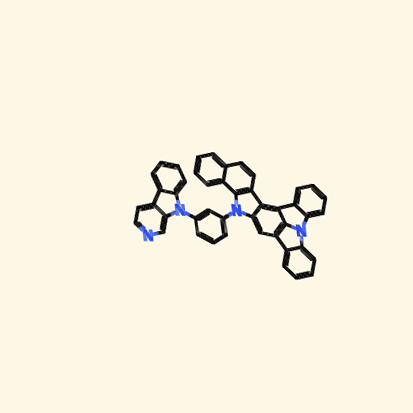 c1cc(-n2c3ccccc3c3ccncc32)cc(-n2c3cc4c5ccccc5n5c6ccccc6c(c3c3ccc6ccccc6c32)c45)c1